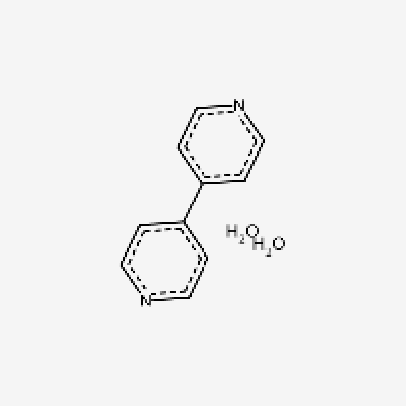 O.O.c1cc(-c2ccncc2)ccn1